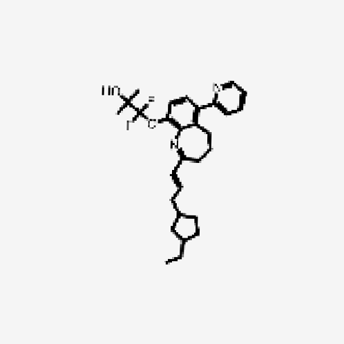 CCC1CCC(C/C=C/C2=Nc3c(OC(F)(F)C(C)(C)O)ccc(-c4ccccn4)c3CCC2)C1